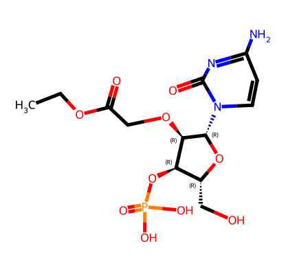 CCOC(=O)CO[C@@H]1[C@H](OP(=O)(O)O)[C@@H](CO)O[C@H]1n1ccc(N)nc1=O